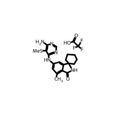 CSc1c(N)ncnc1Nc1cc(C)c2c(c1)C1(CCCCC1)NC2=O.O=C(O)C(F)(F)F